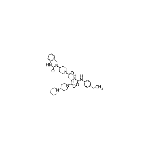 CCc1ccc(NC(=O)N[C@@H](CC(=O)N2CCC(N3Cc4ccccc4NC3=O)CC2)C(=O)N2CCC(N3CCCCC3)CC2)cc1